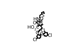 O=C(Cc1cccs1)NC1C(=O)N2C(C(=O)O)C(CC#COc3cc(Cl)ccc3Oc3ccc(Cl)cc3Cl)=CS[C@H]12